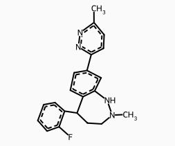 Cc1ccc(-c2ccc3c(c2)NN(C)CCC3c2ccccc2F)nn1